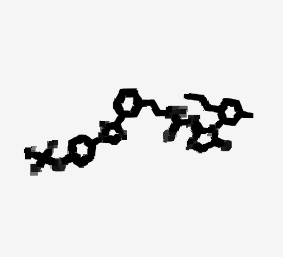 CCCc1ccc(C)cc1N1C(=O)CSC1=NC(=O)NCCc1cccc(-c2ncn(-c3ccc(OC(F)(F)F)cc3)n2)c1